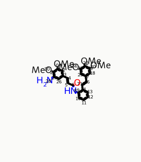 COc1cc(/C=C/C(=O)Nc2ccccc2C=Cc2cc(OC)c(OC)c(OC)c2)cc(N)c1OC